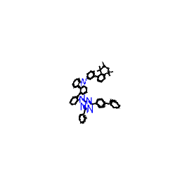 CC1CC(C)(C)c2cccc(-c3cccc(-n4c5ccccc5c5c6c7ccccc7n(-c7nc(-c8ccccc8)nc(-c8ccc(-c9ccccc9)cc8)n7)c6ccc54)c3)c2C1(C)C